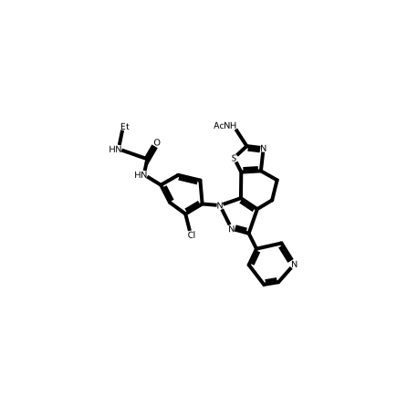 CCNC(=O)Nc1ccc(-n2nc(-c3cccnc3)c3c2-c2sc(NC(C)=O)nc2CC3)c(Cl)c1